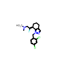 CN(CC(F)=C1CCCc2cnn(Cc3ccc(Cl)cc3Cl)c21)C(=O)O